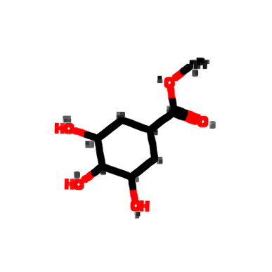 CCCOC(=O)C1CC(O)C(O)C(O)C1